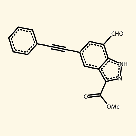 COC(=O)c1n[nH]c2c(C=O)cc(C#Cc3ccccc3)cc12